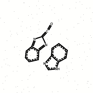 O=C=C1N=c2ccccc2=N1.c1ccc2[nH]cnc2c1